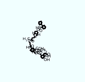 CN(CCCC(=O)Nc1ccc(CNC[C@H](O[Si](C)(C)C(C)(C)C)c2ccc(O)c3[nH]c(=O)ccc23)cc1)C(=O)CCN1C[C@H]2C[C@H](OC(=O)Nc3ccccc3-c3ccccc3)C[C@H]2C1